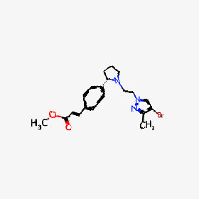 COC(=O)/C=C/c1ccc([C@@H]2CCCN2CCn2cc(Br)c(C)n2)cc1